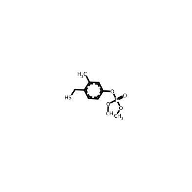 COP(=O)(OC)Oc1ccc(CS)c(C)c1